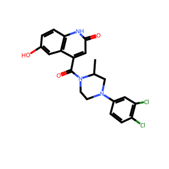 CC1CN(c2ccc(Cl)c(Cl)c2)CCN1C(=O)c1cc(=O)[nH]c2ccc(O)cc12